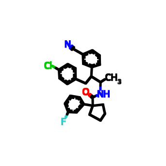 CC(NC(=O)C1(c2cccc(F)c2)CCCC1)C(Cc1ccc(Cl)cc1)c1cccc(C#N)c1